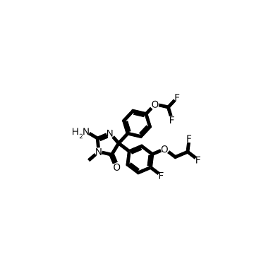 CN1C(=O)C(c2ccc(OC(F)F)cc2)(c2ccc(F)c(OCC(F)F)c2)N=C1N